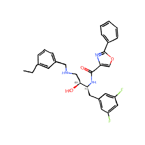 CCc1cccc(CNC[C@H](O)[C@H](Cc2cc(F)cc(F)c2)NC(=O)c2coc(-c3ccccc3)n2)c1